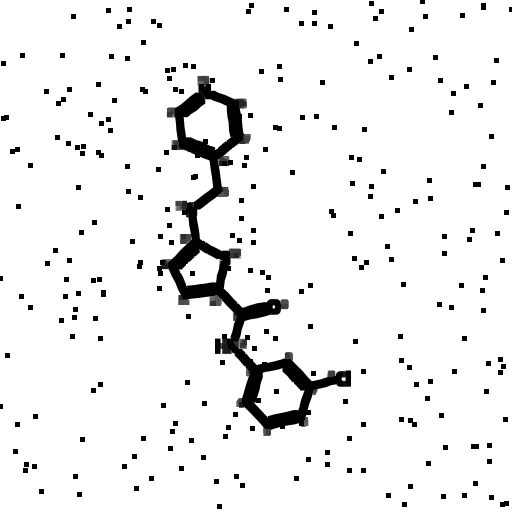 O=C(Nc1cccc(Cl)c1)c1ccc(SCc2ccncc2)s1